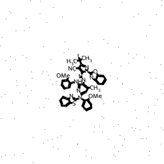 COc1ccccc1Nc1nc(N(c2nc3ccccc3s2)c2ccccc2OC)cc(C)c1/N=N/c1c(C#N)c(C(C)(C)I)nn1-c1nc2ccccc2o1